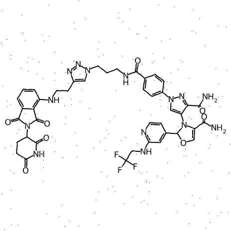 NC(=O)C1=COC(c2ccnc(NCC(F)(F)F)c2)N1c1cn(-c2ccc(C(=O)NCCCn3cc(CCNc4cccc5c4C(=O)N(C4CCC(=O)NC4=O)C5=O)nn3)cc2)nc1C(N)=O